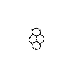 O=[N+]([O-])c1cc2ccc3cccc4ccc(c1)c2c34